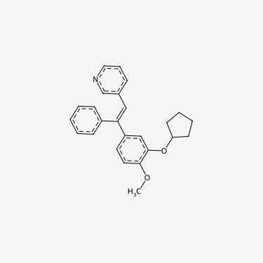 COc1ccc(C(=Cc2cccnc2)c2ccccc2)cc1OC1CCCC1